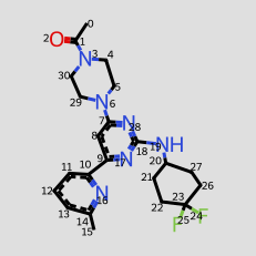 CC(=O)N1CCN(c2cc(-c3cccc(C)n3)nc(NC3CCC(F)(F)CC3)n2)CC1